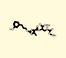 COC(=O)C(CNC(=O)OC(C)(C)C)NC(=O)c1sc(OCCCc2cccc(O)c2)nc1C